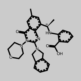 Cc1cc([C@@H](C)Nc2ccccc2C(=O)O)c2nc(N3Cc4ccccc4C3)n(N3CCOCC3)c(=O)c2c1